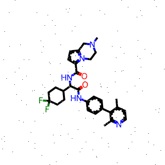 Cc1ccnc(C)c1-c1ccc(NC(=O)C(NC(=O)c2ccc3n2CCN(C)C3)C2CCC(F)(F)CC2)cc1